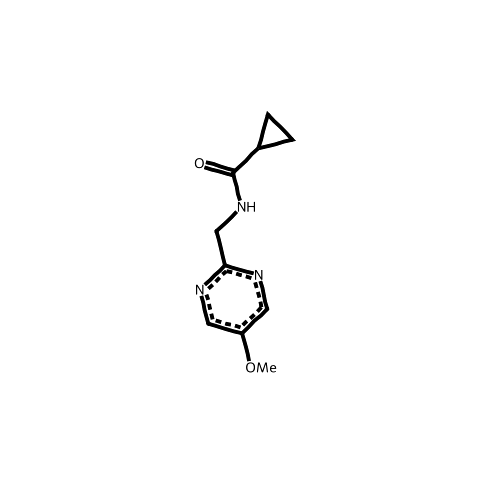 COc1cnc(CNC(=O)C2CC2)nc1